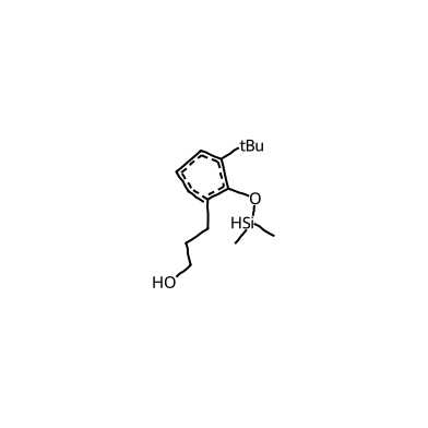 C[SiH](C)Oc1c(CCCO)cccc1C(C)(C)C